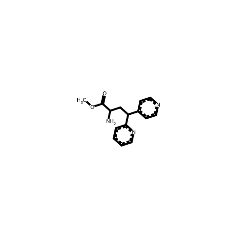 COC(=O)C(N)CC(c1ccncc1)c1ccccn1